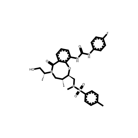 Cc1ccc(S(=O)(=O)N(C)C[C@@H]2Oc3c(NC(=O)Nc4ccc(F)cc4)cccc3C(=O)N([C@H](C)CO)C[C@H]2C)cc1